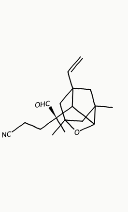 C=CC12CC3(C)CC(C)(C1)C(O3)C2[C@@](C)(C=O)CCC#N